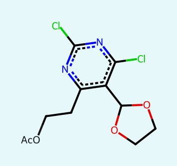 CC(=O)OCCc1nc(Cl)nc(Cl)c1C1OCCO1